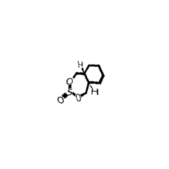 O=S1OC[C@@H]2CCCC[C@H]2CO1